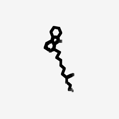 CCOC(=O)CCCCCCc1nccc2c3c([nH]c12)CCCC3